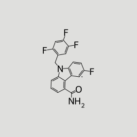 NC(=O)c1cccc2c1c1[c]c(F)ccc1n2Cc1cc(F)c(F)cc1F